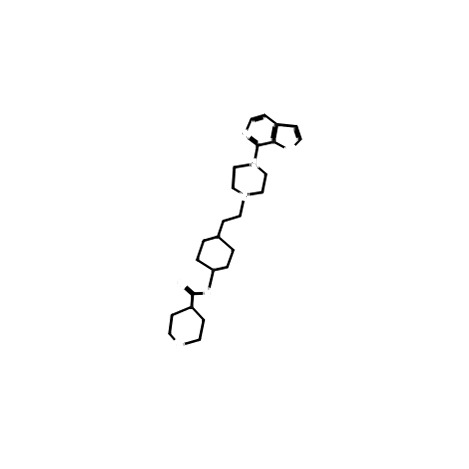 O=C(OC1CCC(CCN2CCN(c3nccc4ccoc34)CC2)CC1)C1CCOCC1